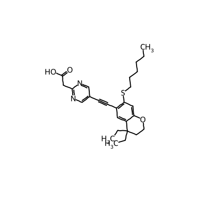 CCCCCCSc1cc2c(cc1C#Cc1cnc(CC(=O)O)nc1)C(CC)(CC)CCO2